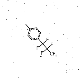 [CH2]c1ccc(C(F)(F)C(F)(F)C(F)(F)F)cc1